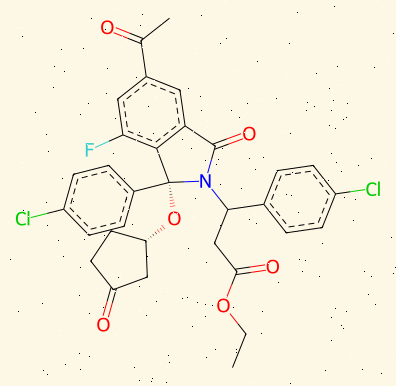 CCOC(=O)CC(c1ccc(Cl)cc1)N1C(=O)c2cc(C(C)=O)cc(F)c2[C@]1(O[C@H]1CCC(=O)C1)c1ccc(Cl)cc1